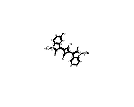 CCCCn1c(C)c(C2=C(O)/C(=C3/C(C)=[N+](CCCC)c4ccc(C)cc43)C2=O)c2ccccc21